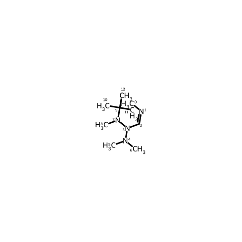 C/N=C\N(N(C)C)N(C)C(C)(C)C